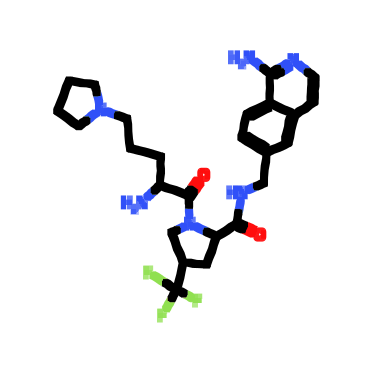 Nc1nccc2cc(CNC(=O)C3CC(C(F)(F)F)CN3C(=O)C(N)CCCN3CCCC3)ccc12